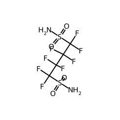 NS(=O)(=O)C(F)(F)C(F)(F)C(F)(F)C(F)(F)S(N)(=O)=O